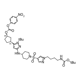 CC(C)(C)OC(=O)NCCCCn1cc(S(=O)(=O)N2CCC(Nc3cc([C@H]4CC[C@@H](OC(=O)Oc5ccc([N+](=O)[O-])cc5)C4)n(C(C)(C)C)n3)CC2)cn1